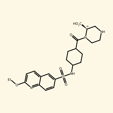 CCOc1ccc2cc(S(=O)(=O)NC3CCC(C(=O)N4CCNC[C@@H]4C(=O)O)CC3)ccc2n1